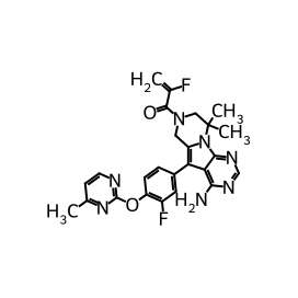 C=C(F)C(=O)N1Cc2c(-c3ccc(Oc4nccc(C)n4)c(F)c3)c3c(N)ncnc3n2C(C)(C)C1